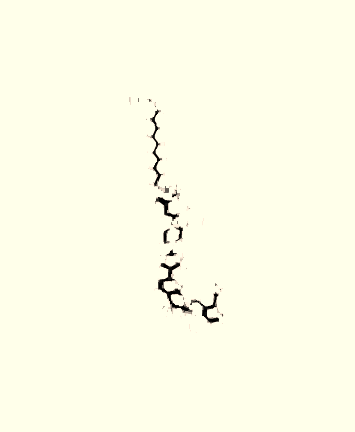 C[C@@H]1CN(c2ncc(-c3ccc4c(n3)N(Cc3cccnc3C#N)C(C)(C)C4=O)cn2)CCN1C(=O)Cc1cn(CCCCCCCCCCN)nn1